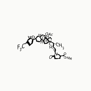 COC(=O)C1CCC(=O)N(CCC[C@@H](C)[C@H]2CC[C@H]3[C@@H]4[C@H](OC(C)=O)C[C@@H]5C[C@](O)(c6ccc(C(F)(F)F)cc6)CC[C@]5(C)[C@H]4CC[C@]23C)C1